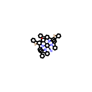 N#Cc1c(-n2c3ccccc3c3ccccc32)c(-n2c3cc(-c4ccccc4)ccc3c3c4sc5ccccc5c4ccc32)c(-c2ccccc2)c(-n2c3cc(-c4ccccc4)ccc3c3c4sc5ccccc5c4ccc32)c1-n1c2ccccc2c2ccccc21